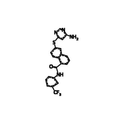 Nc1cc(Sc2ccc3c(C(=O)Nc4cccc(C(F)(F)F)c4)cccc3c2)ncn1